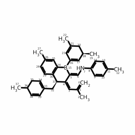 C=C(C)/C=C1\C(=C\Nc2ccc(C)cc2)B(C2=C[C@H](C)CC(C)=C2)c2cc(C)ccc2[C@@H]1CC1=CCC(C)C=C1